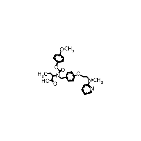 CCC(C(=O)O)N(Cc1ccc(OCCN(C)c2ccccn2)cc1)C(=O)Oc1ccc(OC)cc1